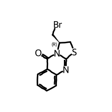 O=c1c2ccccc2nc2n1[C@@H](CBr)CS2